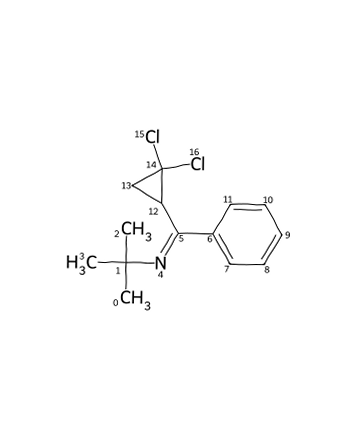 CC(C)(C)N=C(c1ccccc1)C1CC1(Cl)Cl